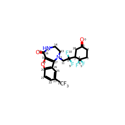 O=C1CCC(F)(F)C(C(F)(F)CN2CCNC(=O)c3oc4ccc(C(F)(F)F)cc4c32)C1